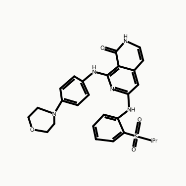 CC(C)S(=O)(=O)c1ccccc1Nc1cc2cc[nH]c(=O)c2c(Nc2ccc(N3CCOCC3)cc2)n1